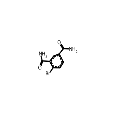 NC(=O)c1ccc(Br)c(C(N)=O)c1